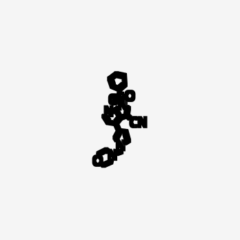 N#Cc1cn(S(=O)(=O)c2ccccc2)c2nccc(-c3ccn(CN4CCOCC4)c3)c12